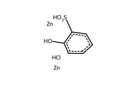 Cl.O=S(=O)(O)c1ccccc1O.[Zn].[Zn]